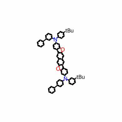 CC(C)(C)c1ccc(N(c2cccc(-c3ccccc3)c2)c2ccc3c(c2)oc2cc4cc5c(cc4cc23)oc2cc(N(c3ccc(-c4ccccc4)cc3)c3cccc(C(C)(C)C)c3)ccc25)cc1